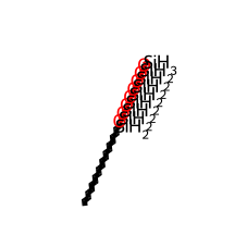 CCCCCCCCCCCCCCCCCCCC[SiH2]O[SiH2]O[SiH2]O[SiH2]O[SiH2]O[SiH2]O[SiH2]O[SiH2]O[SiH3]